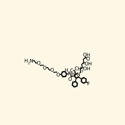 CC(C)c1c(C(=O)Nc2ccc(OCCOCCOCCOCCN)cc2)c(-c2ccccc2)c(-c2ccc(F)cc2)n1CC[C@@H](O)C[C@@H](O)CC(=O)O